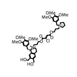 COc1cc(C[C@@H]2c3cc(CO)c(CO)cc3CC[N@@+]2(C)CCCOC(=O)/C(Cl)=C/C(=O)OCCC[N+]2(Cc3cc(OC)c(OC)c(OC)c3)CCCC2)cc(OC)c1OC